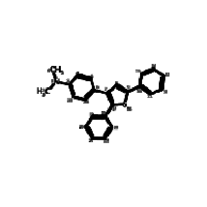 CN(C)c1ccc(-c2cc(-c3ccccc3)sc2-c2ccccc2)cc1